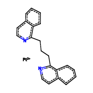 [Pt+2].c1ccc2c(CCCc3nccc4ccccc34)nccc2c1